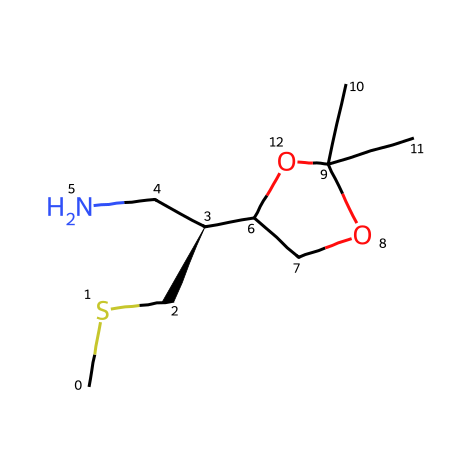 CSC[C@@H](CN)C1COC(C)(C)O1